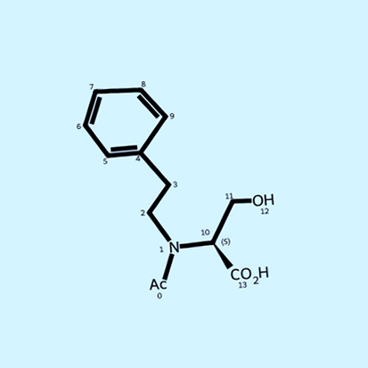 CC(=O)N(CCc1ccccc1)[C@@H](CO)C(=O)O